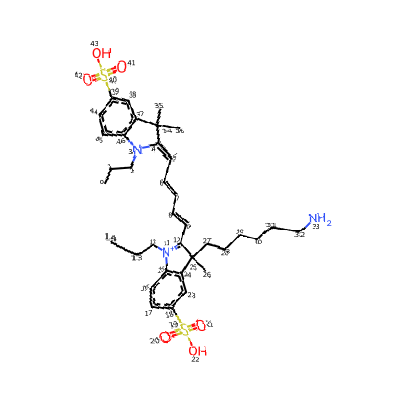 CCCN1\C(=C/C=C/C=C/C2=[N+](CCC)c3ccc(S(=O)(=O)O)cc3C2(C)CCCCCCN)C(C)(C)c2cc(S(=O)(=O)O)ccc21